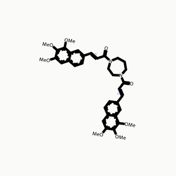 COc1cc2ccc(/C=C/C(=O)N3CCCN(C(=O)/C=C/c4ccc5cc(OC)c(OC)c(OC)c5c4)CC3)cc2c(OC)c1OC